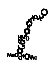 COc1cc(C)c(Sc2cnc(NC(=O)c3ccc(N4CCN(CC(C)(C)OCC(C)(C)CC5CCCCCC5)CC4)cc3)s2)cc1C(=O)N1CCN(C(C)=O)CC1